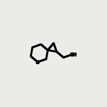 OCC1CC12CCCOC2